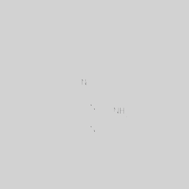 Nc1cccnc1N1CCN(c2ccccc2)CC1